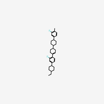 CCC1CCC(c2ccc(C3=CCC(C4CCC(c5ccc(C)c(F)c5)CC4)CC3)c(F)c2)CC1